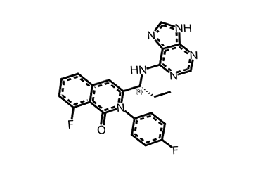 CC[C@@H](Nc1ncnc2[nH]cnc12)c1cc2cccc(F)c2c(=O)n1-c1ccc(F)cc1